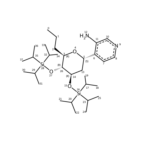 CCC[C@H]1O[C@H](c2ccncc2N)C[C@@H](O[Si](C(C)C)(C(C)C)C(C)C)[C@@H]1O[Si](C(C)C)(C(C)C)C(C)C